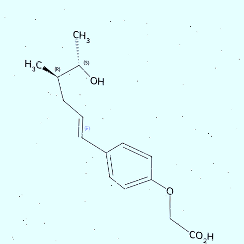 C[C@H](O)[C@H](C)C/C=C/c1ccc(OCC(=O)O)cc1